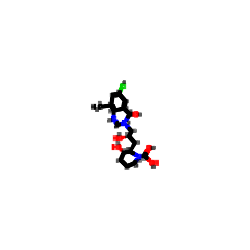 Cc1cc(Cl)cc2c(=O)n(C[C@@H](O)C[C@@H]3[C@@H](O)CCCN3C(=O)O)cnc12